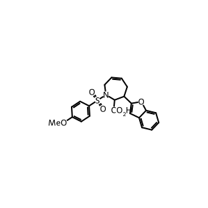 COc1ccc(S(=O)(=O)N2CC=CCC(c3cc4ccccc4o3)C2C(=O)O)cc1